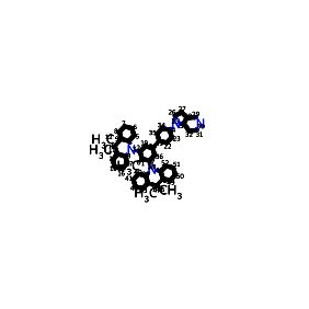 Cc1c(N2c3ccccc3C(C)(C)c3ccccc32)cc(-c2ccc(-n3ccc4cnccc43)cc2)cc1N1c2ccccc2C(C)(C)c2ccccc21